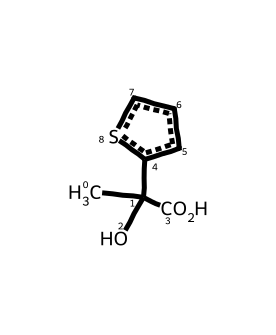 CC(O)(C(=O)O)c1cccs1